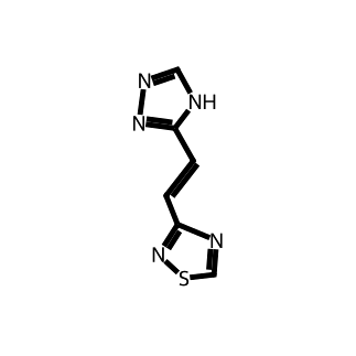 C(=Cc1nnc[nH]1)c1ncsn1